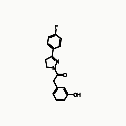 O=C(Cc1cccc(O)c1)N1CCC(c2ccc(F)cc2)=N1